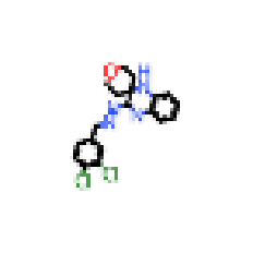 Clc1ccc(CN=NC2=Nc3ccccc3NC23CCOCC3)cc1Cl